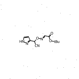 CC(C)(C)OC(=O)C=NOC(C#N)c1cc[nH]n1